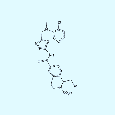 CC(C)CC1c2ccc(C(=O)Nc3nnc(CN(C)c4ccccc4Cl)s3)cc2CCN1C(=O)O